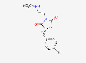 CCc1ccc(/C=C2\SC(=O)N(CCNC(=O)O)C2=O)cc1